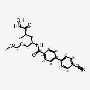 COCOCC(CC(C)C(=O)NO)NC(=O)c1ccc(-c2ccc(C#N)cc2)cc1